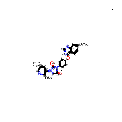 COc1ccc2c(O[C@H]3CC[C@H](N4C(=O)CN(c5cc(C(F)(F)F)cnc5OC)C4=O)CC3)ncnc2c1